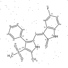 Cc1[nH]c(/C=C2\C(=O)Nc3ccc(F)cc32)c(-c2ccccc2)c1S(C)(=O)=O